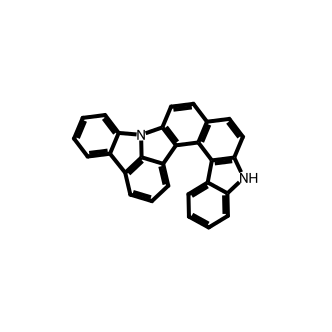 c1ccc2c(c1)[nH]c1ccc3ccc4c(c5cccc6c7ccccc7n4c65)c3c12